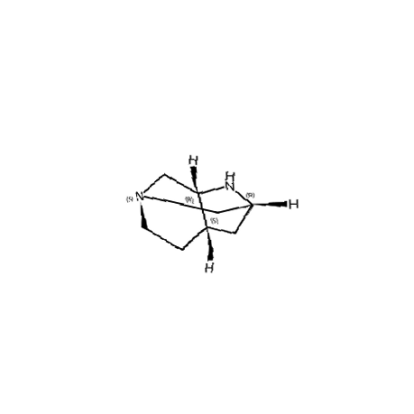 C1C[N@]2C[C@H]3C[C@H]1[C@H](C2)N3